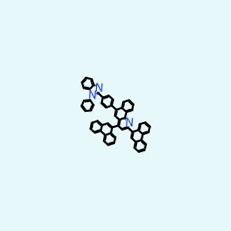 c1ccc(-n2c(-c3ccc(-c4cc5c(-c6cc7ccccc7c7ccccc67)cc(-c6cc7ccccc7c7ccccc67)nc5c5ccccc45)cc3)nc3ccccc32)cc1